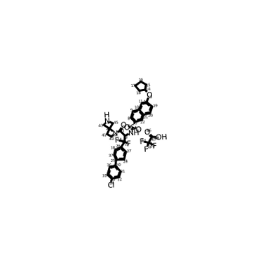 O=C(C(NS(=O)(=O)c1ccc2cc(OC3CCCC3)ccc2c1)C(F)(F)c1ccc(-c2ccc(Cl)cc2)cc1)N1CCC12CNC2.O=C(O)C(F)(F)F